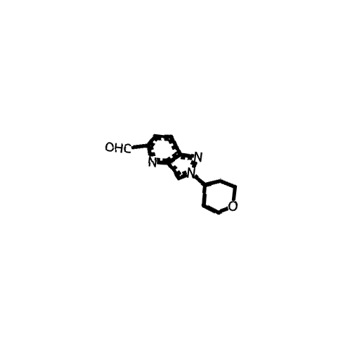 O=Cc1ccc2nn(C3CCOCC3)cc2n1